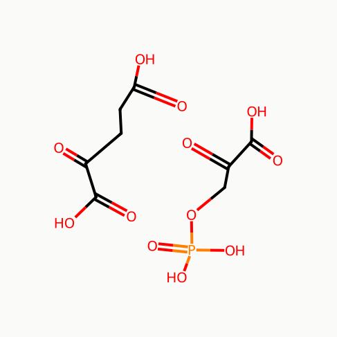 O=C(O)C(=O)COP(=O)(O)O.O=C(O)CCC(=O)C(=O)O